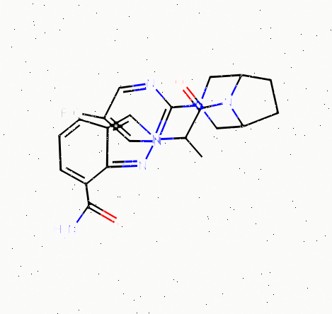 CC(C(=O)N1C2CCC1CN(c1ncc(C(F)(F)F)cn1)C2)n1cc2cccc(C(N)=O)c2n1